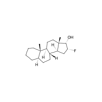 C[C@]12CCCC[C@@H]1CC[C@@H]1[C@@H]2CC[C@]2(C)[C@H](O)[C@H](F)C[C@@H]12